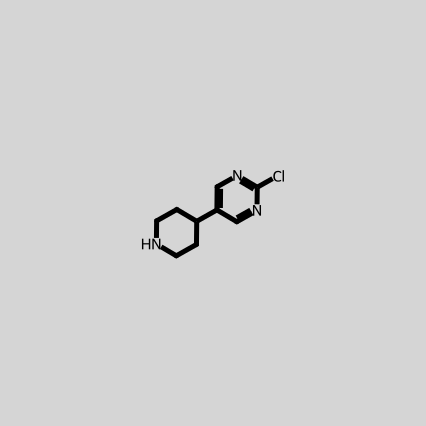 Clc1ncc(C2CCNCC2)cn1